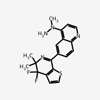 CN(N)c1ccnc2ccc(C3=NC(C)(C)C(F)(F)c4ccsc43)cc12